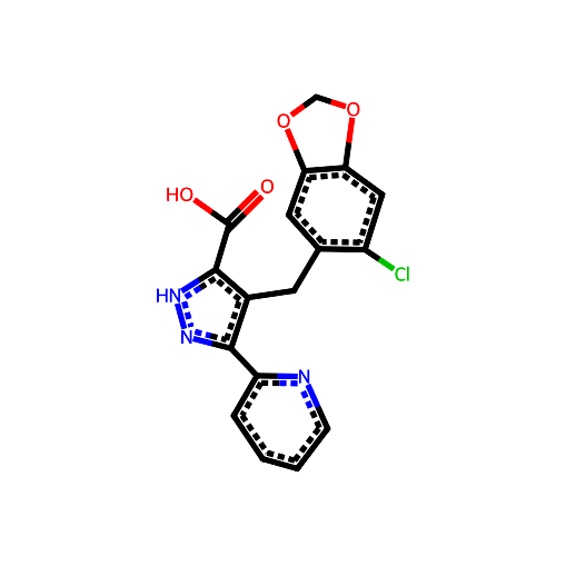 O=C(O)c1[nH]nc(-c2ccccn2)c1Cc1cc2c(cc1Cl)OCO2